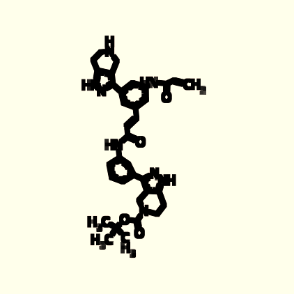 C=CC(=O)Nc1cc(/C=C/C(=O)Nc2cccc(-c3n[nH]c4c3CN(C(=O)OC(C)(C)C)CC4)c2)cc(-c2n[nH]c3c2CNCC3)c1